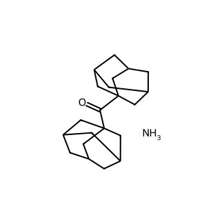 N.O=C(C12CC3CC(CC(C3)C1)C2)C12CC3CC(CC(C3)C1)C2